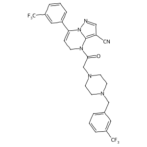 N#Cc1cnn2c1N(C(=O)CN1CCN(Cc3cccc(C(F)(F)F)c3)CC1)CC=C2c1cccc(C(F)(F)F)c1